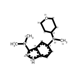 CN(C)c1n[nH]c2ccc(N(C)C3CCOCC3)cc12